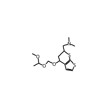 COC(C)OCOC1CC(CN(C)C)Sc2sccc21